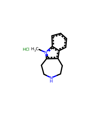 Cl.Cn1c2c(c3ccccc31)CCNCC2